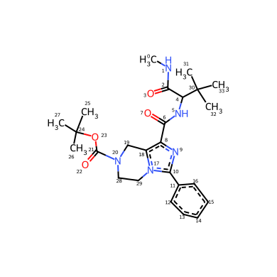 CNC(=O)C(NC(=O)c1nc(-c2ccccc2)n2c1CN(C(=O)OC(C)(C)C)CC2)C(C)(C)C